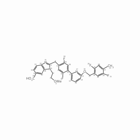 COCCn1c(Cc2cc(F)c(-c3cccc(OCc4cc(F)c(C)cc4F)n3)cc2F)nc2ccc(C(=O)O)cc21